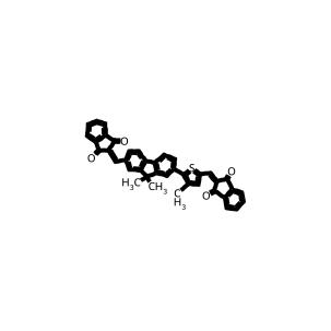 Cc1cc(C=C2C(=O)c3ccccc3C2=O)sc1-c1ccc2c(c1)C(C)(C)c1cc(C=C3C(=O)c4ccccc4C3=O)ccc1-2